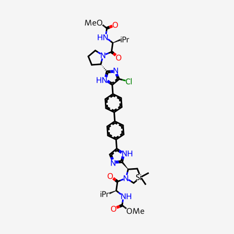 COC(=O)N[C@H](C(=O)N1C[Si](C)(C)C[C@@H]1c1ncc(-c2ccc(-c3ccc(-c4[nH]c([C@@H]5CCCN5C(=O)[C@@H](NC(=O)OC)C(C)C)nc4Cl)cc3)cc2)[nH]1)C(C)C